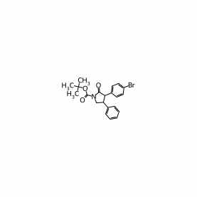 CC(C)(C)OC(=O)N1CC(c2ccccc2)C(c2ccc(Br)cc2)C1=O